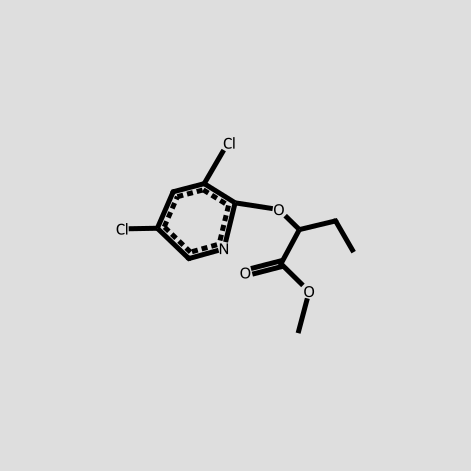 CCC(Oc1ncc(Cl)cc1Cl)C(=O)OC